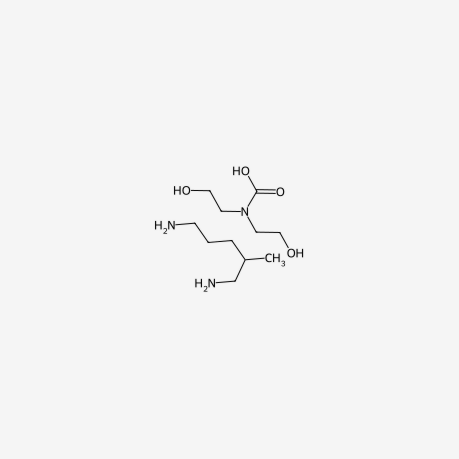 CC(CN)CCCN.O=C(O)N(CCO)CCO